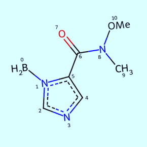 Bn1cncc1C(=O)N(C)OC